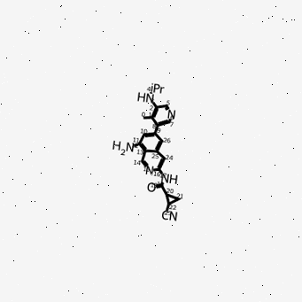 Cc1c(NC(C)C)cncc1-c1cc(N)c2cnc(NC(=O)C3CC3C#N)cc2c1